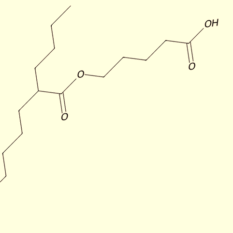 CCCCCCC(CCCC)C(=O)OCCCCC(=O)O